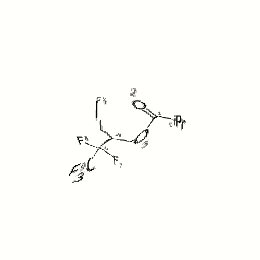 CC(C)C(=O)OC(F)C(F)(F)C(F)(F)F